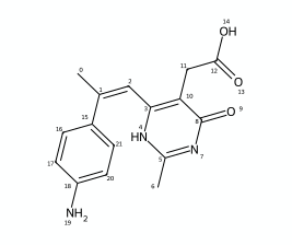 CC(=Cc1[nH]c(C)nc(=O)c1CC(=O)O)c1ccc(N)cc1